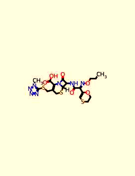 CCCON=C(C(=O)NC1C(=O)N2C(C(=O)O)=C(CSc3nnnn3C)CS[C@@H]12)C1=CSCCO1